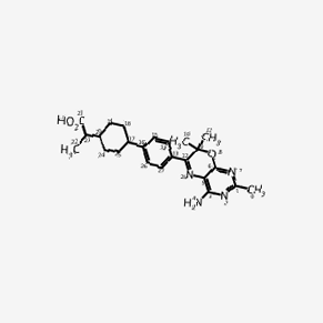 Cc1nc(N)c2c(n1)OC(C)(C)C(c1ccc(C3CCC(C(C)C(=O)O)CC3)cc1)=N2